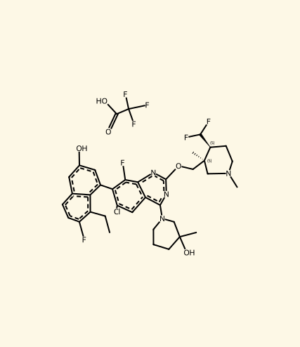 CCc1c(F)ccc2cc(O)cc(-c3c(Cl)cc4c(N5CCCC(C)(O)C5)nc(OC[C@]5(C)CN(C)CC[C@@H]5C(F)F)nc4c3F)c12.O=C(O)C(F)(F)F